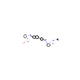 COC(=O)NN(C(=O)[C@@H]1CCCC[C@@H]1c1ncc(-c2ccc3cc(-c4ccc(-c5cnc([C@@H]6CCCC[C@@H]6C(=O)N(CC(=O)NC6CC6)C(C)C)[nH]5)cc4)ccc3c2)[nH]1)C(C)C